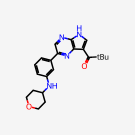 CC(C)(C)C(=O)c1c[nH]c2ncc(-c3cccc(NC4CCOCC4)c3)nc12